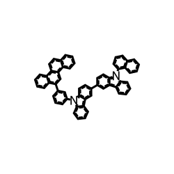 c1cc(-c2cc3c4ccccc4ccc3c3ccccc23)cc(-n2c3ccccc3c3cc(-c4ccc5c(c4)c4ccccc4n5-c4cccc5ccccc45)ccc32)c1